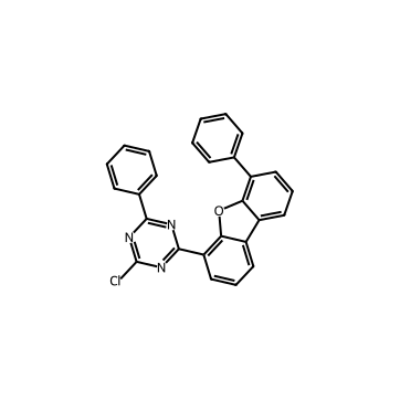 Clc1nc(-c2ccccc2)nc(-c2cccc3c2oc2c(-c4ccccc4)cccc23)n1